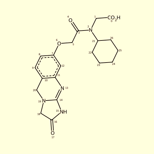 O=C(O)CN(C(=O)COc1ccc2c(c1)N=C1NC(=O)CN1C2)C1CCCCC1